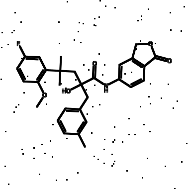 COc1ccc(F)cc1C(C)(C)CC(O)(Cc1cccc(C)c1)C(=O)Nc1ccc2c(c1)COC2=O